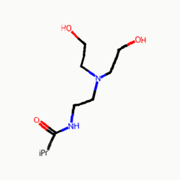 CC(C)C(=O)NCCN(CCO)CCO